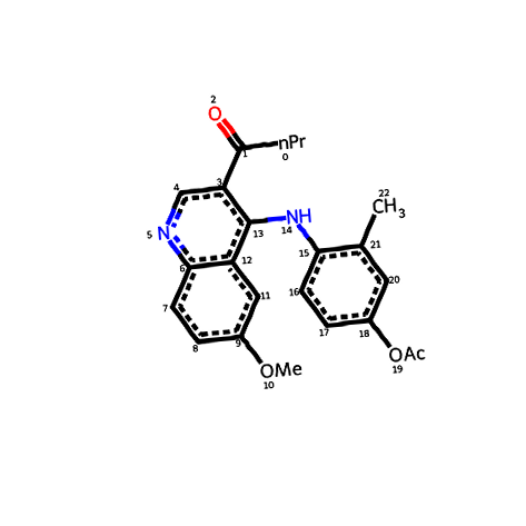 CCCC(=O)c1cnc2ccc(OC)cc2c1Nc1ccc(OC(C)=O)cc1C